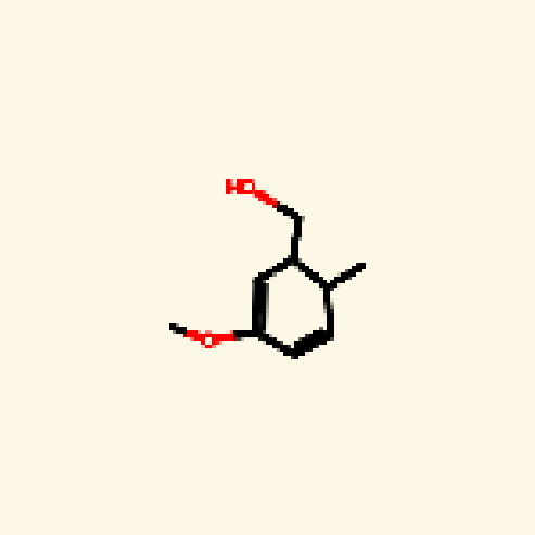 COC1=CC(CO)C(C)C=C1